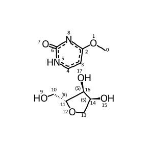 COc1cc[nH]c(=O)n1.OC[C@H]1OC[C@H](O)[C@@H]1O